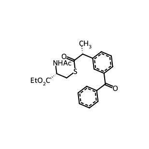 CCOC(=O)[C@@H](CSC(=O)[C@H](C)c1cccc(C(=O)c2ccccc2)c1)NC(C)=O